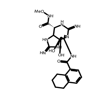 CONC(=O)[C@@H]1NC(=N)N2CC(NC(=O)c3cccc4c3CCCC4)C(O)(O)C23NC(=N)NC13